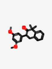 COc1cc(OC)cc(C2Cc3ccccc3C(C)(C)C2=O)c1